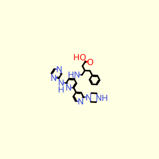 O=C(O)CC(CNc1cc(Nc2cnccn2)nc(-c2ccnc(N3CCNCC3)c2)c1)Cc1ccccc1